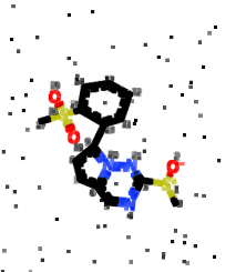 C[S+]([O-])c1ncc2ccc(-c3ccccc3S(C)(=O)=O)n2n1